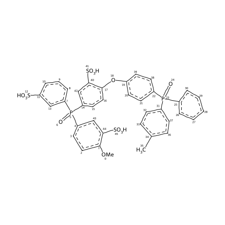 COc1ccc(P(=O)(c2cccc(S(=O)(=O)O)c2)c2ccc(Oc3ccc(P(=O)(c4ccccc4)c4ccc(C)cc4)cc3)c(S(=O)(=O)O)c2)cc1S(=O)(=O)O